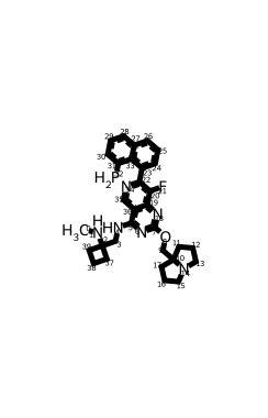 CNC1(CNc2nc(OCC34CCCN3CCC4)nc3c(F)c(-c4cccc5cccc(P)c45)ncc23)CCC1